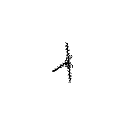 CCCCCCCCCC(=O)OCC(COC(=O)CCCCCCCCC)OC(=O)CCCCCCCCC